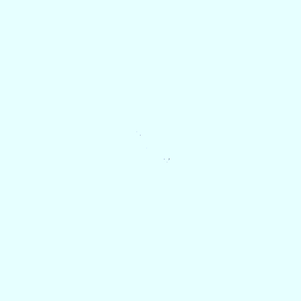 [BH2][Mo].[Ni].[V]